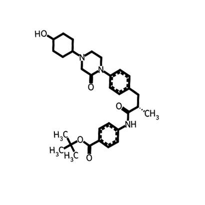 C[C@@H](Cc1ccc(N2CCN(C3CCC(O)CC3)CC2=O)cc1)C(=O)Nc1ccc(C(=O)OC(C)(C)C)cc1